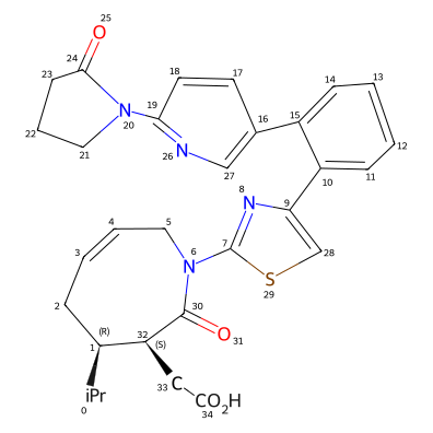 CC(C)[C@H]1CC=CCN(c2nc(-c3ccccc3-c3ccc(N4CCCC4=O)nc3)cs2)C(=O)[C@H]1CC(=O)O